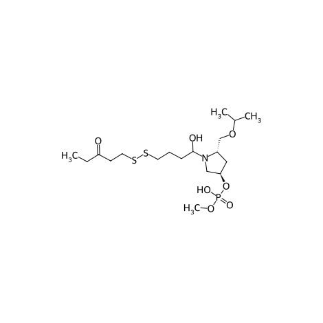 CCC(=O)CCSSCCCC(O)N1C[C@H](OP(=O)(O)OC)C[C@H]1COC(C)C